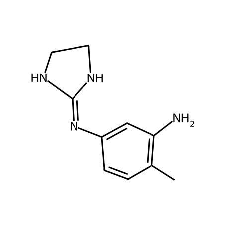 Cc1ccc(N=C2NCCN2)cc1N